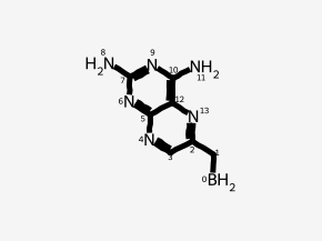 BCc1cnc2nc(N)nc(N)c2n1